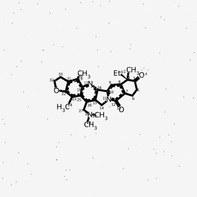 CC[C@@]1(C)C(=O)CCc2c1cc1n(c2=O)Cc2c-1nc1c(C)c3c(c(C)c1c2CN(C)C)OCC3